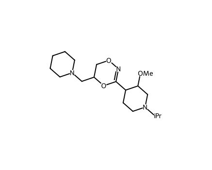 COC1CN(C(C)C)CCC1C1=NOCC(CN2CCCCC2)O1